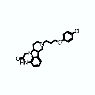 O=C1CN2c3c(cccc3C3CN(CCCOc4ccc(Cl)cc4)CCC32)N1